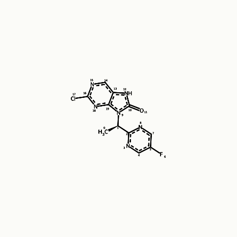 C[C@H](c1ncc(F)cn1)n1c(=O)[nH]c2cnc(Cl)nc21